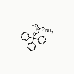 C[C@H](N)[C@H](O)COC(c1ccccc1)(c1ccccc1)c1ccccc1